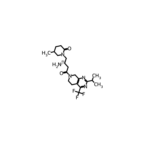 CC1CCC(=O)N(C[C@@H](N)CC(=O)N2CCc3c(nc(C(C)C)nc3C(F)(F)F)C2)C1